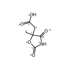 CC1(CC(=O)O)OC(=O)NC1=O